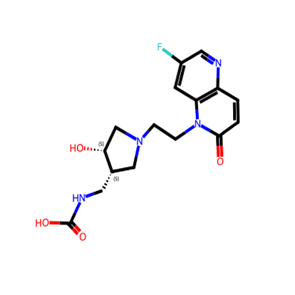 O=C(O)NC[C@H]1CN(CCn2c(=O)ccc3ncc(F)cc32)C[C@H]1O